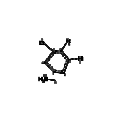 CCc1cccc(CC)c1CC.CN